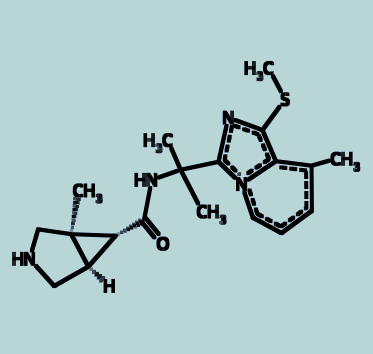 CSc1nc(C(C)(C)NC(=O)[C@@H]2[C@H]3CNC[C@]32C)n2cccc(C)c12